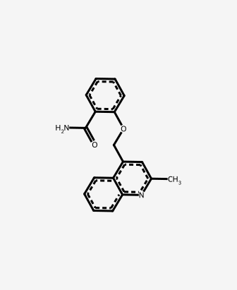 Cc1cc(COc2ccccc2C(N)=O)c2ccccc2n1